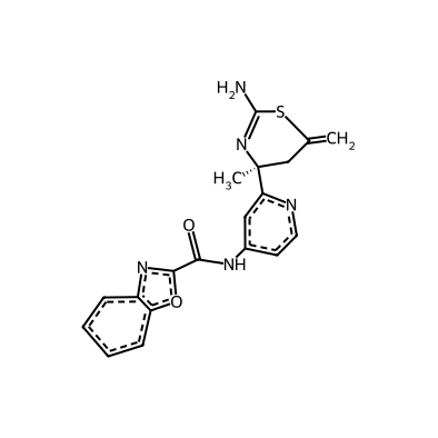 C=C1C[C@@](C)(c2cc(NC(=O)c3nc4ccccc4o3)ccn2)N=C(N)S1